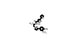 Cc1cc(-c2ccn(CC(C)NC(=O)c3cc(-c4ccco4)n[nH]3)n2)ccc1C#N